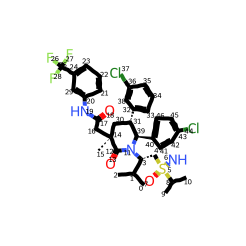 CC(C)[C@@H](CS(=N)(=O)C(C)C)N1C(=O)[C@@](C)(CC(=O)Nc2cccc(C(F)(F)F)c2)C[C@H](c2cccc(Cl)c2)[C@H]1c1ccc(Cl)cc1